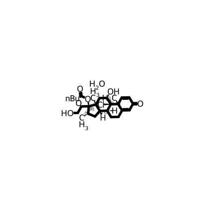 CCCCC(=O)O[C@]1(C(=O)CO)[C@@H](C)C[C@H]2[C@@H]3CCC4=CC(=O)C=C[C@]4(C)[C@@]3(Cl)[C@@H](O)C[C@@]21C.O